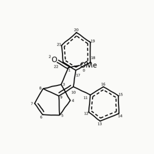 COC(=O)C1CC2C=CC1C2=C(c1ccccc1)c1ccccc1